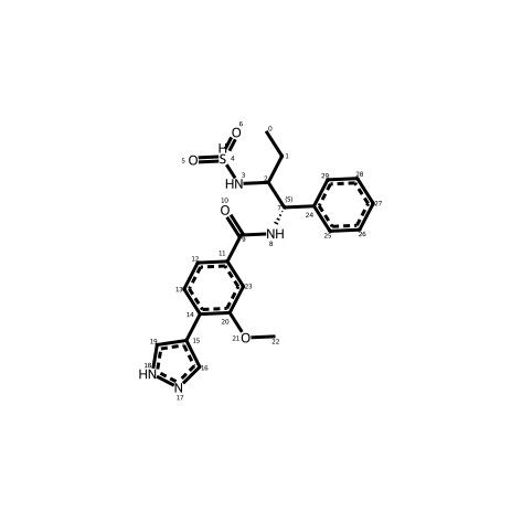 CCC(N[SH](=O)=O)[C@@H](NC(=O)c1ccc(-c2cn[nH]c2)c(OC)c1)c1ccccc1